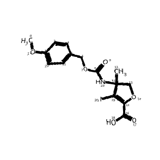 COc1ccc(COC(=O)NC2(C)COC(C(=O)O)=C2I)cc1